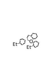 C1=Cc2ccccc2OC1.CCc1ccccc1.CCc1ccccc1